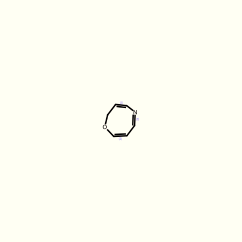 C1=C/OC\C=C/N=C\1